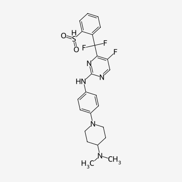 CN(C)C1CCN(c2ccc(Nc3ncc(F)c(C(F)(F)c4ccccc4[SH](=O)=O)n3)cc2)CC1